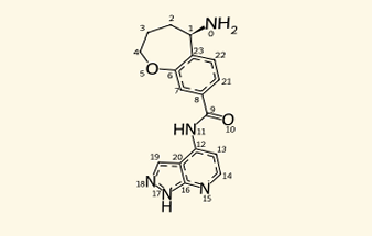 N[C@@H]1CCCOc2cc(C(=O)Nc3ccnc4[nH]ncc34)ccc21